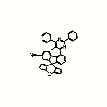 Cc1c(-c2ccccc2)nc(-c2ccccc2)nc1-c1cccc2c1-c1ccc(C#N)cc1C21c2ccccc2Oc2ccccc21